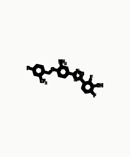 Nc1cc(-c2noc(-c3ccc(F)c(O)c3F)n2)ccc1OCc1ccc(F)cc1C(F)(F)F